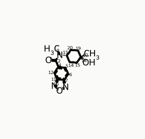 CN(C(=O)c1ccc2nonc2c1)[C@H]1CC[C@@](C)(O)CC1